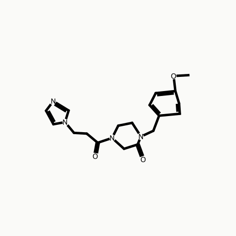 COc1ccc(CN2CCN(C(=O)CCn3ccnc3)CC2=O)cc1